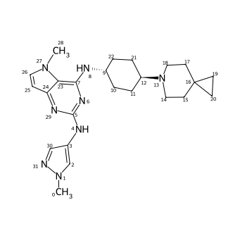 Cn1cc(Nc2nc(N[C@H]3CC[C@H](N4CCC5(CC4)CC5)CC3)c3c(ccn3C)n2)cn1